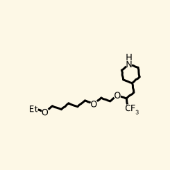 CCOCCCCCOCCOC(CC1CCNCC1)C(F)(F)F